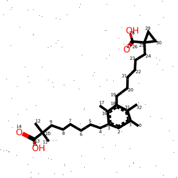 Cc1cc(CCCCCCC(C)(C)C(=O)O)c(C)c(CCCCCCC2(C(=O)O)CC2)c1C